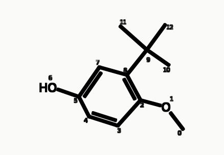 COc1ccc(O)cc1C(C)(C)C